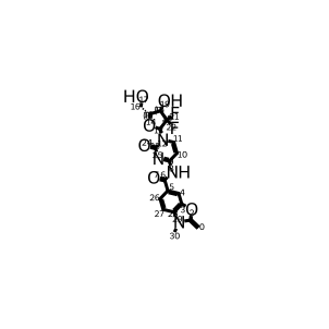 C=C1Oc2cc(C(=O)Nc3ccn(C4O[C@H](CO)[C@@H](O)C4(F)F)c(=O)n3)ccc2N1C